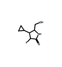 O=C1NC(CO)C(C2CC2)C1F